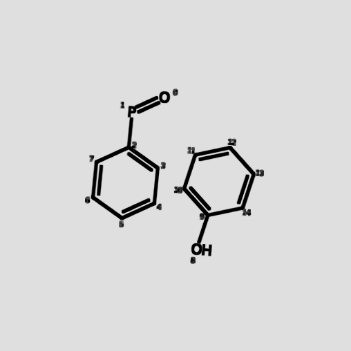 O=Pc1ccccc1.Oc1ccccc1